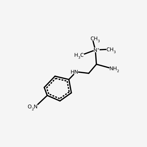 C[N+](C)(C)C(N)CNc1ccc([N+](=O)[O-])cc1